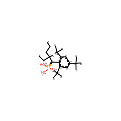 CCCC(C)(CC)C(c1c(C(C)(C)C)cc(C(C)(C)C)cc1C(C)(C)C)=P(O)(O)O